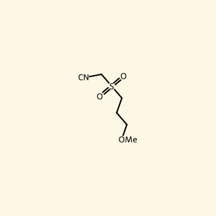 [C-]#[N+]CS(=O)(=O)CCCOC